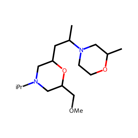 COCC1CN(C(C)C)CC(CC(C)N2CCOC(C)C2)O1